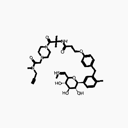 C#CCN(C)C(=O)CN1CCN(C(=O)C(C)(C)NC(=O)CCOc2ccc(Cc3cc([C@@H]4OC(/C=[SH]\C)[C@@H](O)[C@H](O)[C@H]4O)ccc3C)cc2)CC1